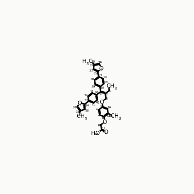 CCC(COc1ccc(OCC(=O)O)c(C)c1)=C(c1ccc(-c2cc(C)co2)cc1)c1ccc(-c2cc(C)co2)cc1